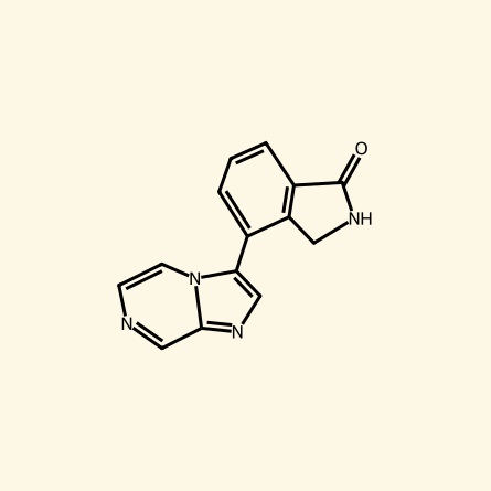 O=C1NCc2c1cccc2-c1cnc2cnccn12